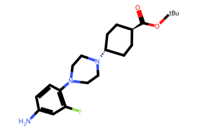 CC(C)(C)OC(=O)[C@H]1CC[C@H](N2CCN(c3ccc(N)cc3F)CC2)CC1